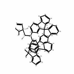 C=C[C@](C)(C(C)C)[C@@H](C)N(c1ccc2c(c1)C(C)(C)c1ccccc1-2)c1ccc2c(c1)C1(c3ccccc3-2)c2ccccc2-c2c1cc1c3c(cccc23)-c2ccccc2-1